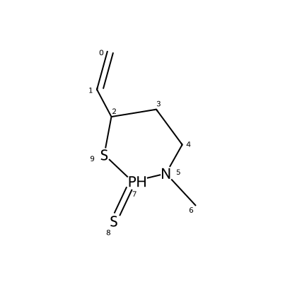 C=CC1CCN(C)[PH](=S)S1